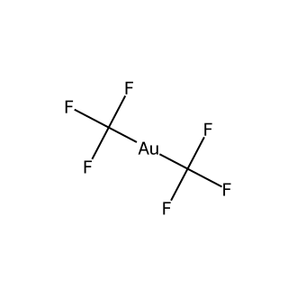 F[C](F)(F)[Au][C](F)(F)F